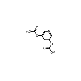 O=C(O)OC1=CN=CC(OC(=O)O)C1